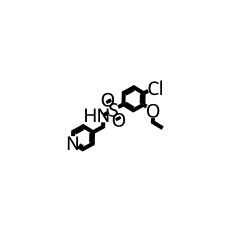 CCOc1cc(S(=O)(=O)NCc2ccncc2)ccc1Cl